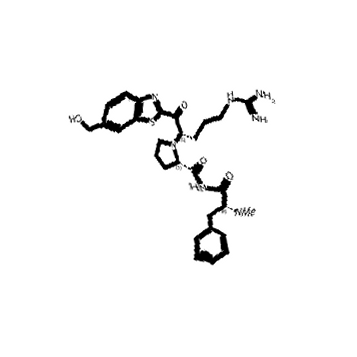 CN[C@H](Cc1ccccc1)C(=O)NC(=O)[C@@H]1CCCN1[C@@H](CCCNC(=N)N)C(=O)c1nc2ccc(CO)cc2s1